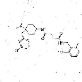 Cc1cccc(Cl)c1CNC(=O)CCC(=O)NC1CCC(Cc2cccc(Cl)c2)(N(C)C)CC1